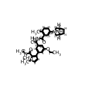 CCOc1cc(-c2ccn(C)c2C(=O)N(C)C)cc([C@@H](C)NC(=O)c2cc(N3C[C@H]4CC[C@@H](C3)N4)ccc2C)c1